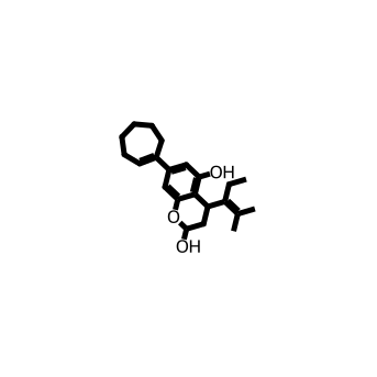 CCC(=C(C)C)C1CC(O)Oc2cc(C3=CCCCCC3)cc(O)c21